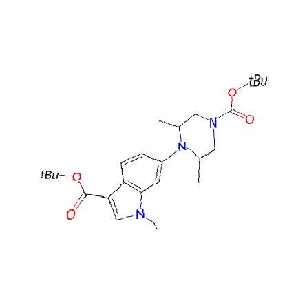 CC1CN(C(=O)OC(C)(C)C)CC(C)N1c1ccc2c(C(=O)OC(C)(C)C)cn(C)c2c1